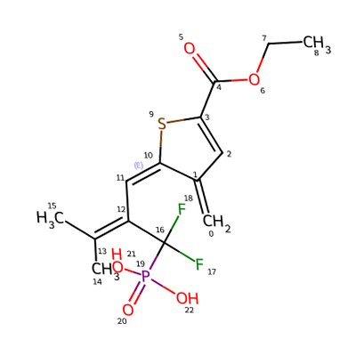 C=c1cc(C(=O)OCC)s/c1=C/C(=C(C)C)C(F)(F)P(=O)(O)O